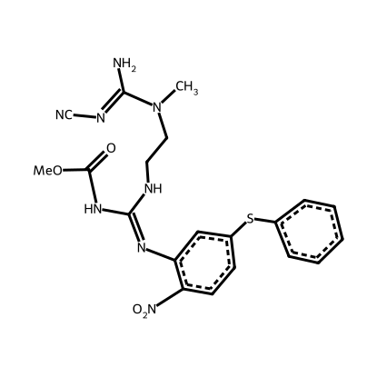 COC(=O)NC(=Nc1cc(Sc2ccccc2)ccc1[N+](=O)[O-])NCCN(C)C(N)=NC#N